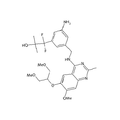 COCC(COC)Oc1cc2c(NCc3cc(N)cc(C(F)(F)C(C)(C)O)c3)nc(C)nc2cc1OC